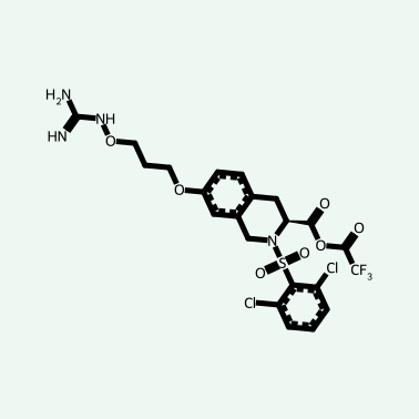 N=C(N)NOCCCOc1ccc2c(c1)CN(S(=O)(=O)c1c(Cl)cccc1Cl)[C@H](C(=O)OC(=O)C(F)(F)F)C2